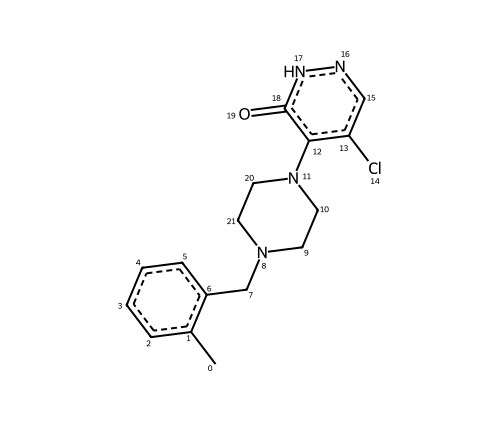 Cc1ccccc1CN1CCN(c2c(Cl)cn[nH]c2=O)CC1